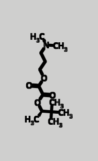 C[C@@H](OC(=O)C(=O)OCCCN(C)C)C(C)(C)C